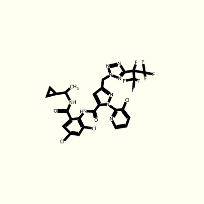 CC(NC(=O)c1cc(Cl)cc(Cl)c1NC(=O)c1cc(Cn2nnc(C(F)(C(F)(F)F)C(F)(F)F)n2)nn1-c1ncccc1Cl)C1CC1